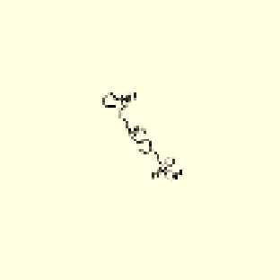 O=C(/C=C/c1ccc(CNCCCc2c[nH]c3ccccc23)cc1)NO